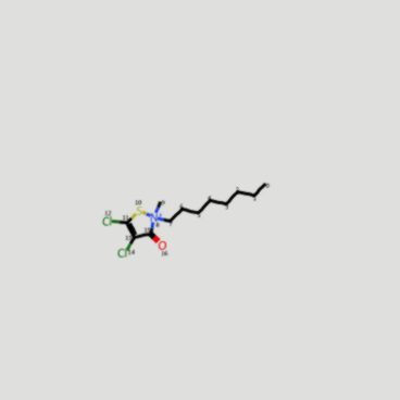 CCCCCCCC[N+]1(C)SC(Cl)=C(Cl)C1=O